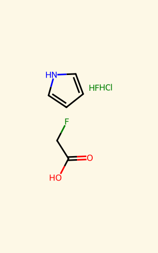 Cl.F.O=C(O)CF.c1cc[nH]c1